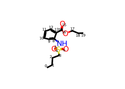 CCCCS(=O)(=O)Nc1ccccc1C(=O)OCCC